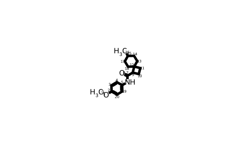 COc1ccc(NC(=O)C2CCC23CCC(C)CC3)cc1